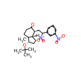 CC(C)(C)O[C@H]1CC[C@H]2[C@H](CC(c3cccc([N+](=O)[O-])c3)[N+](=O)[O-])C(=O)CC[C@]12C